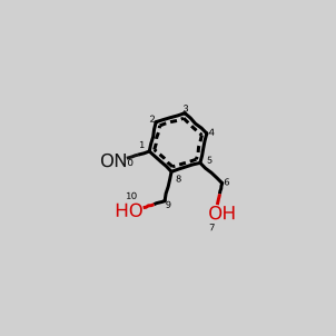 O=Nc1cccc(CO)c1CO